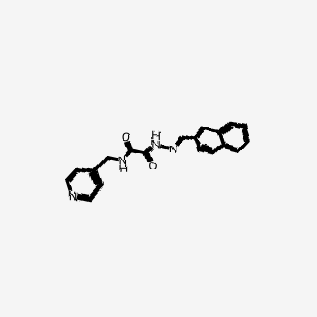 O=C(NCc1ccncc1)C(=O)N/N=C/c1ccc2ccccc2c1